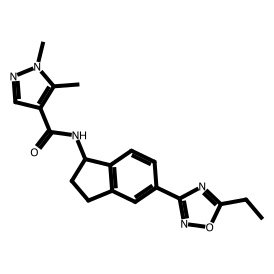 CCc1nc(-c2ccc3c(c2)CCC3NC(=O)c2cnn(C)c2C)no1